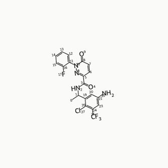 CC(NC(=O)c1ccc(=O)n(-c2ccccc2F)n1)c1cc(N)cc(C(F)(F)F)c1Cl